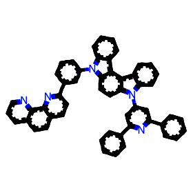 c1ccc(-c2cc(-n3c4ccccc4c4c5c6ccccc6n(-c6cccc(-c7ccc8ccc9cccnc9c8n7)c6)c5ccc43)cc(-c3ccccc3)n2)cc1